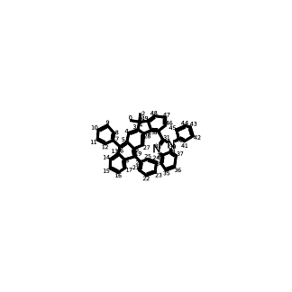 CC1(C)c2cc3c(-c4ccccc4)c4ccccc4c(-c4ccccc4)c3cc2-c2c(-c3nc4ccccc4n3-c3ccccc3)cccc21